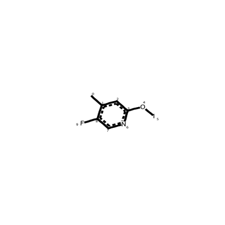 Cc1cc(OI)ncc1F